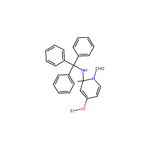 CCOC1=CC(C)(NC(c2ccccc2)(c2ccccc2)c2ccccc2)N(C=O)C=C1